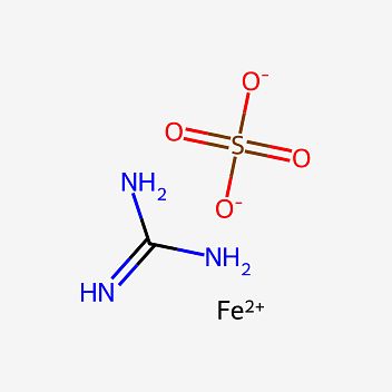 N=C(N)N.O=S(=O)([O-])[O-].[Fe+2]